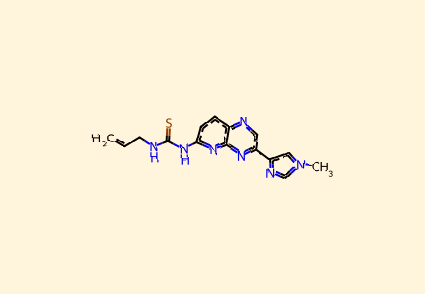 C=CCNC(=S)Nc1ccc2ncc(-c3cn(C)cn3)nc2n1